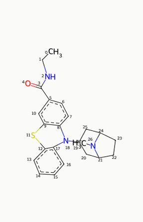 CCNC(=O)c1ccc2c(c1)Sc1ccccc1N2C1CC2CCC(C1)N2C